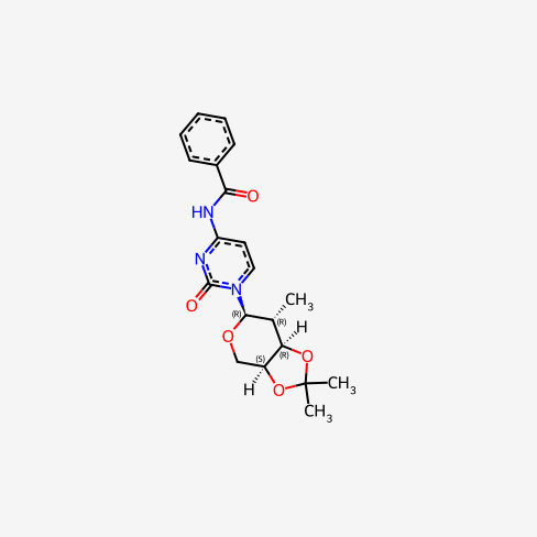 C[C@@H]1[C@H]2OC(C)(C)O[C@H]2CO[C@H]1n1ccc(NC(=O)c2ccccc2)nc1=O